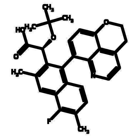 Cc1cc2c(F)c(C)ccc2c(-c2ccc3c4c(ccnc24)CCO3)c1[C@H](OC(C)(C)C)C(=O)O